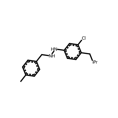 Cc1ccc(CNNc2ccc(CC(C)C)c(Cl)c2)cc1